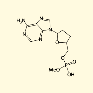 COP(=O)(O)OCC1CCC(n2cnc3c(N)ncnc32)O1